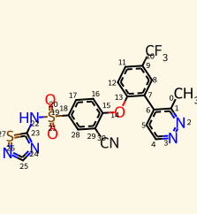 Cc1nnccc1-c1cc(C(F)(F)F)ccc1Oc1ccc(S(=O)(=O)Nc2ncns2)cc1C#N